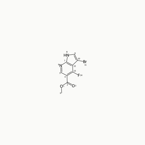 COC(=O)c1cnc2[nH]cc(Br)c2c1F